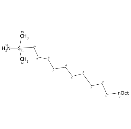 CCCCCCCCCCCCCCCCCCS(C)(C)N